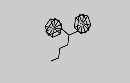 CCCCC([C]12[CH]3[CH]4[CH]5[CH]1[Fe]45321678[CH]2[CH]1[CH]6[CH]7[CH]28)[C]12[CH]3[CH]4[CH]5[CH]1[Fe]45321678[CH]2[CH]1[CH]6[CH]7[CH]28